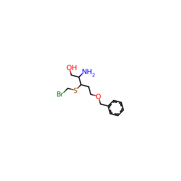 NC(CO)C(CCOCc1ccccc1)SCBr